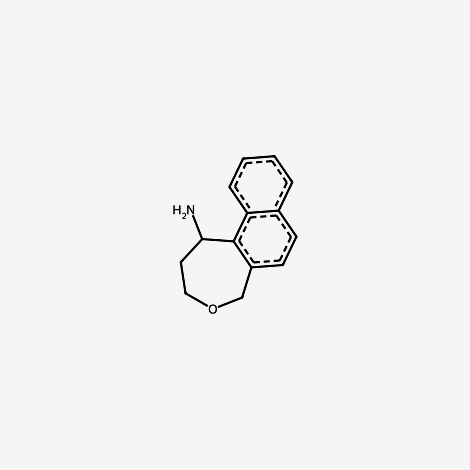 NC1CCOCc2ccc3ccccc3c21